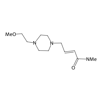 CNC(=O)/C=C/CN1CCN(CCOC)CC1